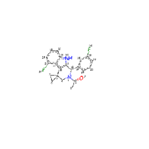 CC(=O)N1CC2(CC2)c2c([nH]c3cccc(F)c23)C1c1cccc(F)c1